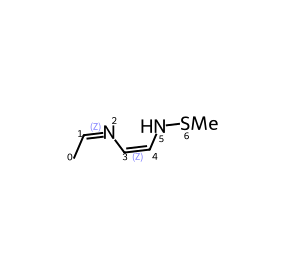 C/C=N\C=C/NSC